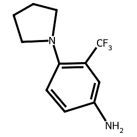 Nc1ccc(N2CCCC2)c(C(F)(F)F)c1